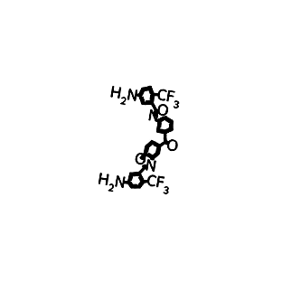 Nc1ccc(C(F)(F)F)c(-c2nc3cc(C(=O)c4ccc5oc(-c6cc(N)ccc6C(F)(F)F)nc5c4)ccc3o2)c1